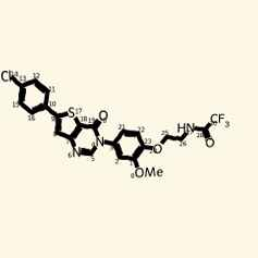 COc1cc(-n2cnc3cc(-c4ccc(Cl)cc4)sc3c2=O)ccc1OCCNC(=O)C(F)(F)F